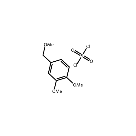 COCc1ccc(OC)c(OC)c1.O=S(=O)(Cl)Cl